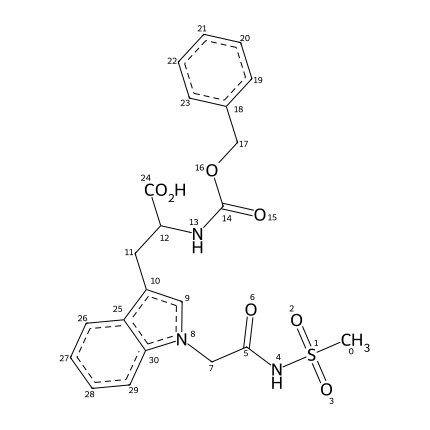 CS(=O)(=O)NC(=O)Cn1cc(CC(NC(=O)OCc2ccccc2)C(=O)O)c2ccccc21